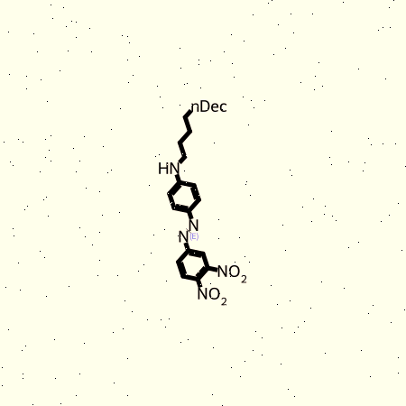 CCCCCCCCCCCCCCNc1ccc(/N=N/c2ccc([N+](=O)[O-])c([N+](=O)[O-])c2)cc1